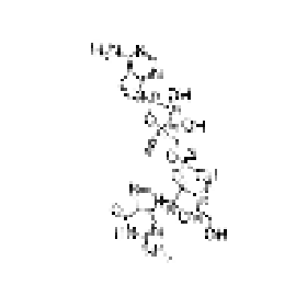 C#C[C@]1(COP(O)(=S)O[C@@H]2[C@H](F)[C@@H](CO)O[C@H]2n2cnc3c(=O)[nH]c(N)nc32)O[C@@H](n2ccc3c(N)ncnc32)[C@H](O)[C@@H]1O